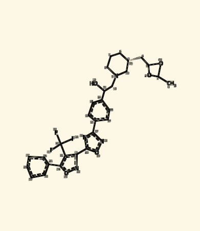 CC1OC(C[C@H]2CCCN(CC(O)c3ccc(-c4noc(-c5noc(-c6ccccc6)c5C(F)(F)F)n4)cc3)C2)O1